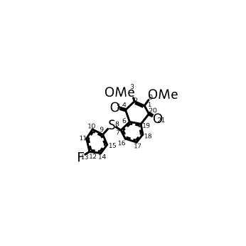 COC1=C(OC)C(=O)c2c(Sc3ccc(F)cc3)cccc2C1=O